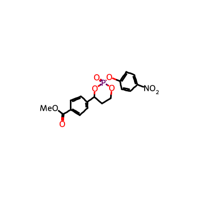 COC(=O)c1ccc(C2CCOP(=O)(Oc3ccc([N+](=O)[O-])cc3)O2)cc1